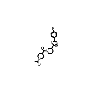 CC(=O)N1CCC(C(=O)N2CCCC(c3nc(-c4ccc(F)cc4)no3)C2)CC1